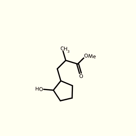 COC(=O)C(C)CC1CCCC1O